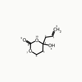 C=CCC1(O)CCOC(=O)O1